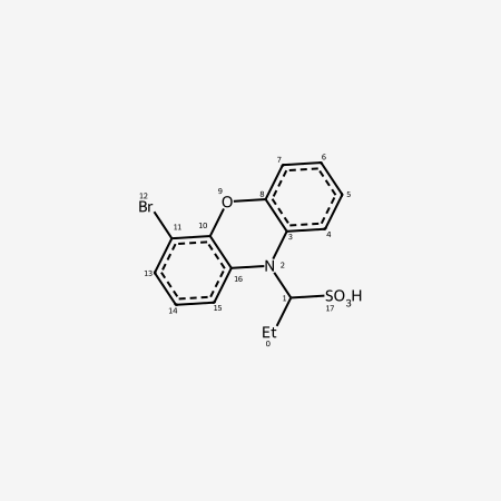 CCC(N1c2ccccc2Oc2c(Br)cccc21)S(=O)(=O)O